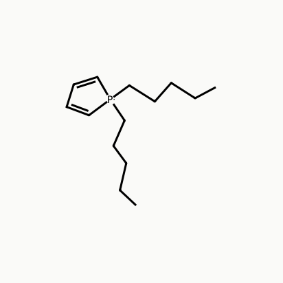 CCCCC[P]1(CCCCC)C=CC=C1